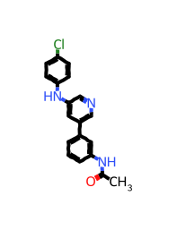 CC(=O)Nc1cccc(-c2cncc(Nc3ccc(Cl)cc3)c2)c1